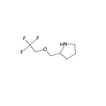 FC(F)(F)[CH]OCC1CCCN1